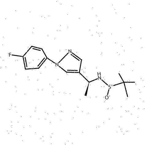 C[C@H](N[S+]([O-])C(C)(C)C)c1cnn(-c2ccc(F)cc2)c1